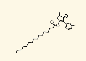 CCCCCCCCCCCCCCCC(=O)OC1=C(c2cccc(C)c2)C(=O)C(C)C1